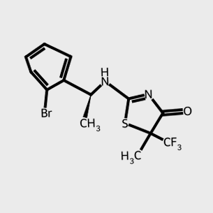 C[C@H](NC1=NC(=O)C(C)(C(F)(F)F)S1)c1ccccc1Br